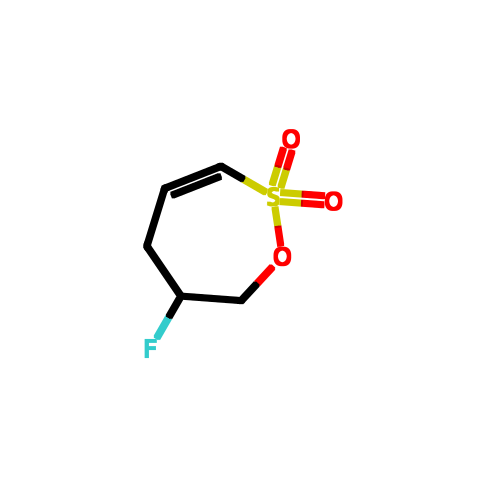 O=S1(=O)C=CCC(F)CO1